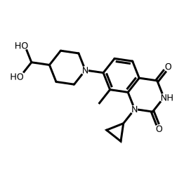 Cc1c(N2CCC(C(O)O)CC2)ccc2c(=O)[nH]c(=O)n(C3CC3)c12